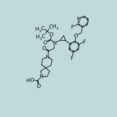 CC(C)(C)OC(=O)N(CC(=O)N1CCC2(CCN(C(=O)O)C2)CC1)C1CC1c1cc(F)cc(F)c1OCc1cccnc1F